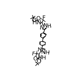 CC(C)(C)OC(=O)NC(c1nc(-c2ccc(-c3ccc(-c4c[nH]c(C(NC(=O)OC(C)(C)C)C(C)(C)F)n4)cc3)cc2)c[nH]1)C(C)(C)F